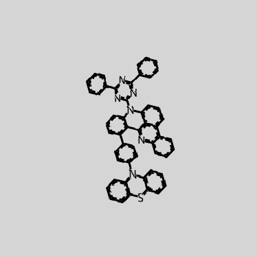 c1ccc(-c2nc(-c3ccccc3)nc(N3c4cccc(-c5ccc(N6c7ccccc7Sc7ccccc76)cc5)c4-c4nc5ccccc5c5cccc3c45)n2)cc1